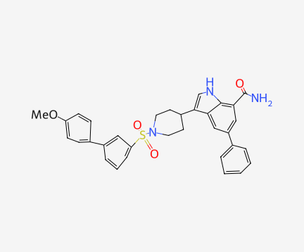 COc1ccc(-c2cccc(S(=O)(=O)N3CCC(c4c[nH]c5c(C(N)=O)cc(-c6ccccc6)cc45)CC3)c2)cc1